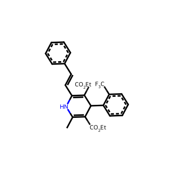 CCOC(=O)C1=C(C)NC(C=Cc2ccccc2)=C(C(=O)OCC)C1c1ccccc1C(F)(F)F